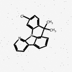 CC1(C)c2ccc(Cl)cc2-n2c3ncccc3c3cccc1c32